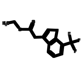 CCOC(=O)CC1=CCc2c1cccc2C(F)(F)F